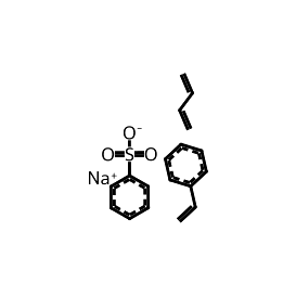 C=CC=C.C=Cc1ccccc1.O=S(=O)([O-])c1ccccc1.[Na+]